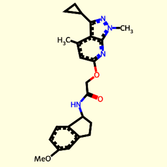 COc1ccc2c(c1)CCC2NC(=O)COc1cc(C)c2c(C3CC3)nn(C)c2n1